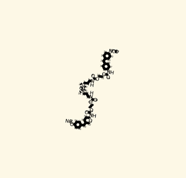 C[Si](C)(CCCNC(=O)OCCOC(=O)NC1CCC(CC2CCC(N=C=O)CC2)CC1)O[Si](C)(C)CCCNC(=O)OCCOC(=O)NC1CCC(CC2CCC(OC#N)CC2)CO1